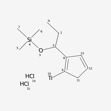 CCC(O[Si](C)(C)C)C1=[C]([Ti])CC=C1.Cl.Cl